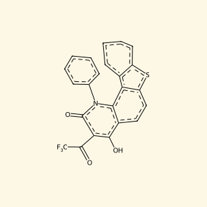 O=C(c1c(O)c2ccc3sc4ccccc4c3c2n(-c2ccccc2)c1=O)C(F)(F)F